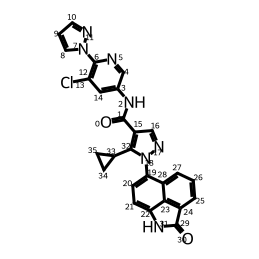 O=C(Nc1cnc(-n2cccn2)c(Cl)c1)c1cnn(-c2ccc3c4c(cccc24)C(=O)N3)c1C1CC1